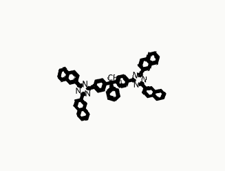 CC(c1ccccc1)(c1ccc(-c2nc(-c3ccc4ccccc4c3)nc(-c3ccc4ccccc4c3)n2)cc1)c1ccc(-c2nc(-c3ccc4ccccc4c3)nc(-c3ccc4ccccc4c3)n2)cc1